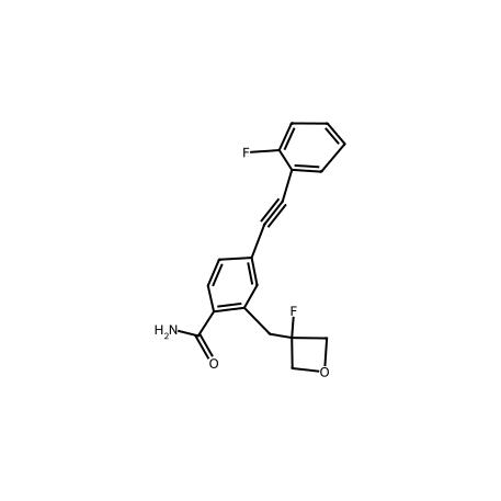 NC(=O)c1ccc(C#Cc2ccccc2F)cc1CC1(F)COC1